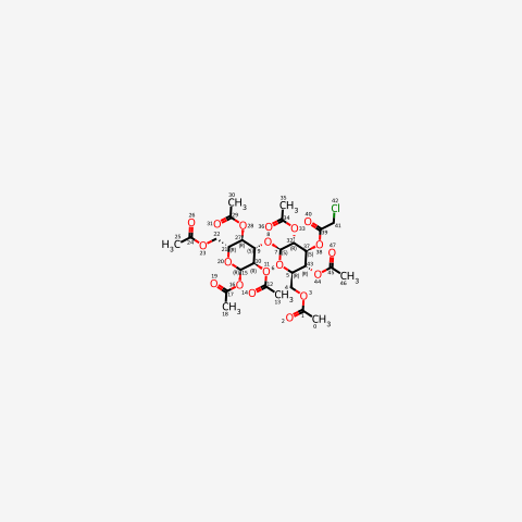 CC(=O)OC[C@H]1O[C@@H](O[C@@H]2[C@@H](OC(C)=O)[C@@H](OC(C)=O)O[C@H](COC(C)=O)[C@H]2OC(C)=O)[C@H](OC(C)=O)[C@@H](OC(=O)CCl)[C@@H]1OC(C)=O